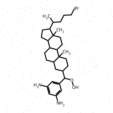 CC(C)CCCC(C)C1CCC2C3CCC4CC(C(OO)c5cc(N)cc(N)c5)CCC4(C)C3CCC12C